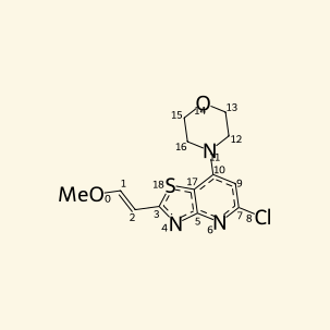 COC=Cc1nc2nc(Cl)cc(N3CCOCC3)c2s1